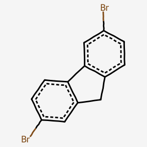 Brc1ccc2c(c1)Cc1ccc(Br)cc1-2